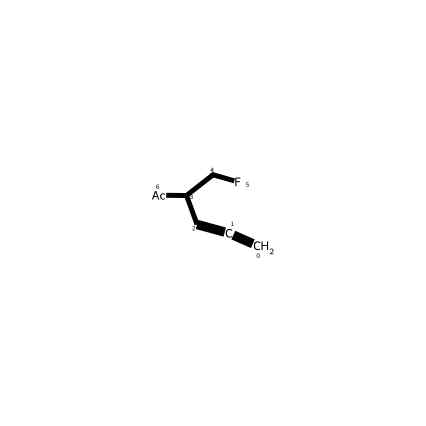 C=C=CC(CF)C(C)=O